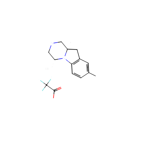 Cc1ccc2c(c1)C[C@@H]1CNC[C@@H](C)N21.O=C(O)C(F)(F)F